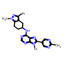 CCn1c(-c2cnc(C)nc2)nc2c(NC3CCc4c(c(C(C)C)nn4C)C3)ncnc21